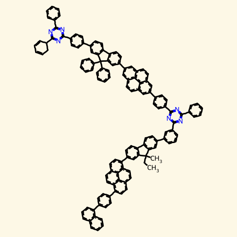 CCC1(C)c2cc(-c3cccc(-c4nc(-c5ccccc5)nc(-c5ccc(-c6cc7ccc8cc(-c9ccc%10c(c9)C(c9ccccc9)(c9ccccc9)c9cc(-c%11ccc(-c%12nc(-c%13ccccc%13)nc(C%13C=CC=CC%13)n%12)cc%11)ccc9-%10)cc9ccc(c6)c7c89)cc5)n4)c3)ccc2-c2ccc(-c3ccc4ccc5c(-c6ccc(-c7cccc8ccccc78)cc6)ccc6ccc3c4c65)cc21